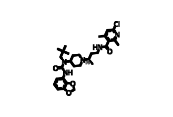 Cc1cc(Cl)nc(C)c1C(=O)NCC[C@@H](C)N1CCC(N(CC(C)(C)C)C(=O)Nc2cccc3c2OCO3)CC1